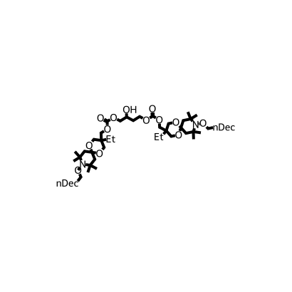 CCCCCCCCCCCON1C(C)(C)CC2(CC1(C)C)OCC(CC)(COC(=O)OCCC(O)COC(=O)OCC1(CC)COC3(CC(C)(C)N(OCCCCCCCCCCC)C(C)(C)C3)OC1)CO2